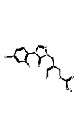 NC(=O)OCC(=CF)Cn1ncn(-c2ccc(Br)cc2F)c1=O